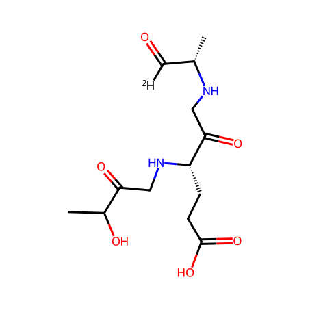 [2H]C(=O)[C@H](C)NCC(=O)[C@H](CCC(=O)O)NCC(=O)C(C)O